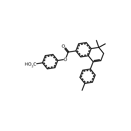 Cc1ccc(C2=CCC(C)(C)c3ccc(C(=O)Oc4ccc(C(=O)O)cc4)cc32)cc1